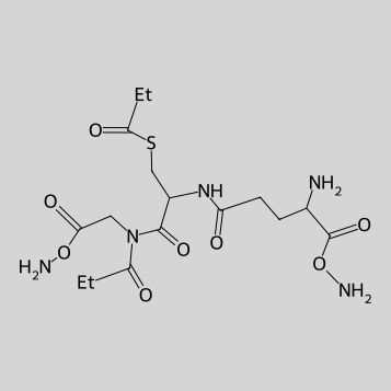 CCC(=O)SCC(NC(=O)CCC(N)C(=O)ON)C(=O)N(CC(=O)ON)C(=O)CC